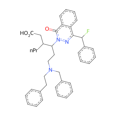 CCCC(CC(=O)O)C(CCN(CCc1ccccc1)Cc1ccccc1)n1nc(C(F)c2ccccc2)c2ccccc2c1=O